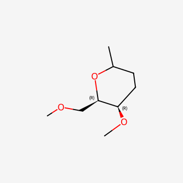 COC[C@H]1OC(C)CC[C@H]1OC